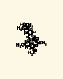 COc1cc2nc(C)nc(NCc3cccc(C(F)(F)C(C)(C)O)c3F)c2cc1OC(C)[C@@H]1CCCO1